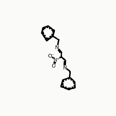 O=[N+]([O-])C(C=NCc1ccccc1)/C=N/Cc1ccccc1